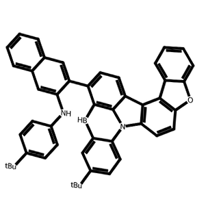 CC(C)(C)c1ccc(Nc2cc3ccccc3cc2-c2ccc3c4c5c(ccc4n4c3c2Bc2cc(C(C)(C)C)ccc2-4)oc2ccccc25)cc1